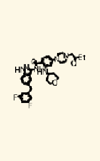 CCC(=O)CN1CCN(c2ccc(C(=O)Nc3n[nH]c4ccc(Cc5cc(F)cc(F)c5)cc34)c(NC3CCOCC3)c2)CC1